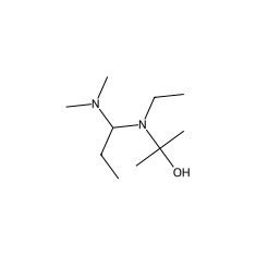 CCC(N(C)C)N(CC)C(C)(C)O